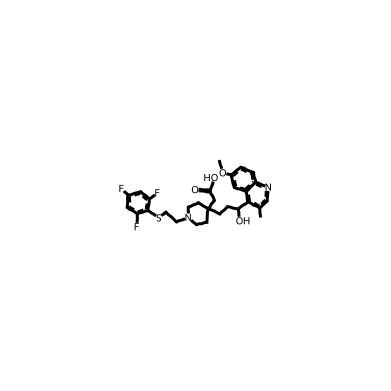 COc1ccc2ncc(C)c(C(O)CCC3(CC(=O)O)CCN(CCSc4c(F)cc(F)cc4F)CC3)c2c1